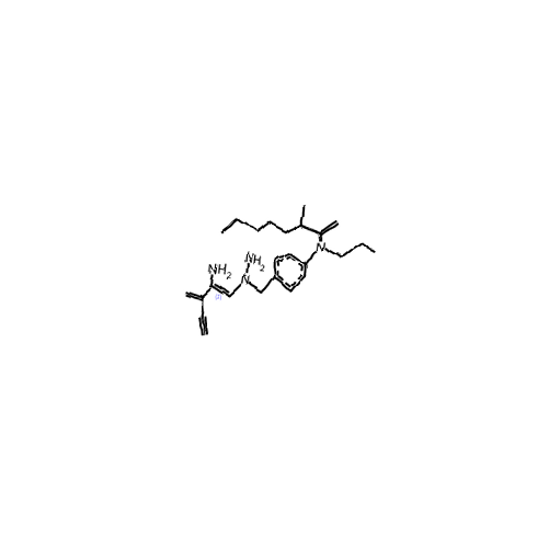 C#CC(=C)/C(N)=C/N(N)Cc1ccc(N(CCC)C(=C)C(C)CCCCC)cc1